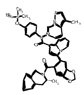 Cc1cnn2c1C=CN(N(C(=O)c1cc(-c3cc4c(cc3C(=O)N3Cc5ccccc5C[C@H]3C)OCO4)n3ccccc13)c1ccc(O[Si](C)(C)C(C)(C)C)cc1)C2